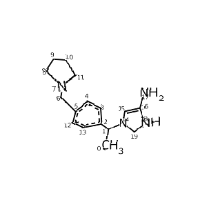 CC(c1ccc(CN2CCCC2)cc1)N1C=C(N)NC1